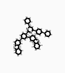 c1ccc(-c2ccc(-c3cc(-c4ccccc4)nc(-c4ccc(-c5ccc6sc7ccccc7c6c5)cc4-c4ccc5sc6ccccc6c5c4)n3)cc2)cc1